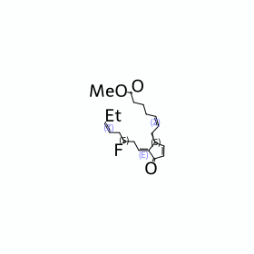 CC/C=C\C[C@H](F)C/C=C1/C(=O)C=C[C@@H]1C/C=C\CCCC(=O)OC